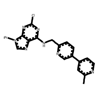 Cc1cc(-c2ccc(CNc3nc(Cl)nc4c3ncn4C(C)C)nc2)ccn1